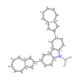 CC(C)n1c2ccc(-c3cc4cccccc-4c3)cc2c2cc(-c3cc4cccccc-4c3)ccc21